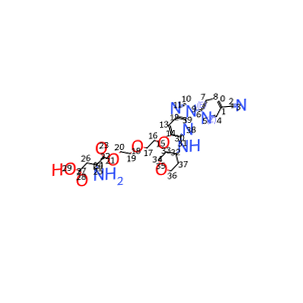 C=C(C#N)/C=N\C(=C/C)n1cnc2cc(OCCOCCOC(=O)[C@@H](N)CC(=O)O)c(NC3CCOCC3)nc21